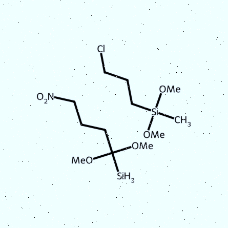 COC([SiH3])(CCC[N+](=O)[O-])OC.CO[Si](C)(CCCCl)OC